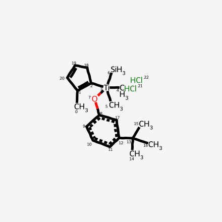 CC1=[C]([Ti]([CH3])([CH3])([SiH3])[O]c2cccc(C(C)(C)C)c2)CC=C1.Cl.Cl